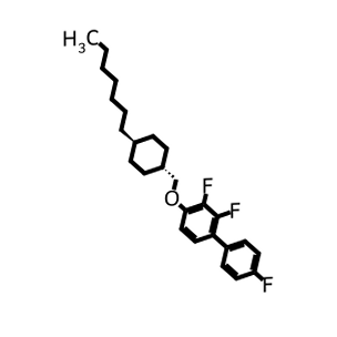 CCCCCCC[C@H]1CC[C@H](COc2ccc(-c3ccc(F)cc3)c(F)c2F)CC1